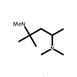 CNC(C)(C)CC(C)N(C)C